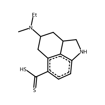 CCN(C)C1Cc2c(C(=S)S)ccc3c2C(CN3)C1